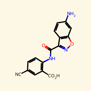 N#Cc1ccc(NC(=O)c2noc3cc(N)ccc23)c(C(=O)O)c1